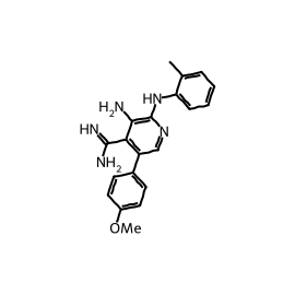 COc1ccc(-c2cnc(Nc3ccccc3C)c(N)c2C(=N)N)cc1